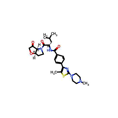 Cc1sc(N2CCN(C)CC2)nc1-c1ccc(C(=O)N[C@@H](CC(C)C)C(=O)N2CC[C@H]3OCC(=O)[C@H]32)cc1